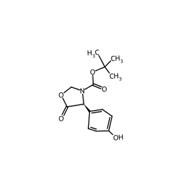 CC(C)(C)OC(=O)N1COC(=O)[C@@H]1c1ccc(O)cc1